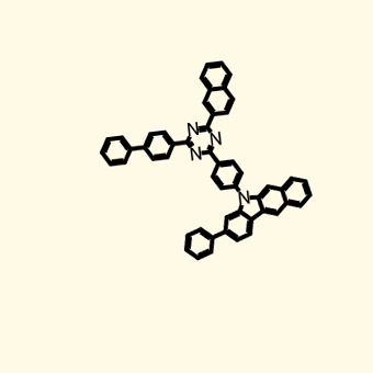 c1ccc(-c2ccc(-c3nc(-c4ccc(-n5c6cc(-c7ccccc7)ccc6c6cc7ccccc7cc65)cc4)nc(-c4ccc5ccccc5c4)n3)cc2)cc1